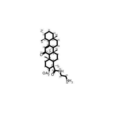 CC(=O)OC1CC[C@@]2(C)C(CC[C@]3(C)C2C(=O)C=C2C4[C@@H](C)[C@H](C)CC[C@]4(C)CC[C@]23C)[C@@]1(C)C(=O)NCCN